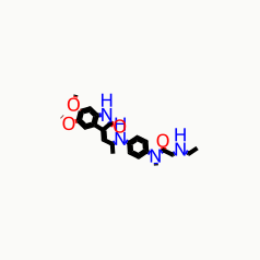 CCNCC(=O)N(C)c1ccc(NC(C)C=C2C(=O)Nc3cc(OC)c(OC)cc32)cc1